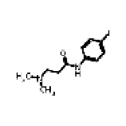 CN(C)CCC(=O)Nc1ccc(I)cc1